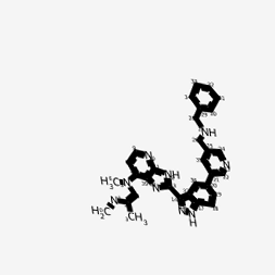 C=N/C(C)=C\N(C)c1ccnc2[nH]c(-c3n[nH]c4ccc(-c5cncc(CNCc6ccccc6)c5)cc34)nc12